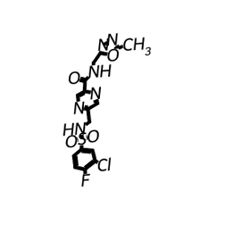 Cc1nnc(CNC(=O)c2cnc(CNS(=O)(=O)c3ccc(F)c(Cl)c3)cn2)o1